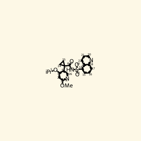 COc1cc(OC(C)C)c(C2(C(=O)NS(=O)(=O)c3cccc4ncccc34)CC2)cn1